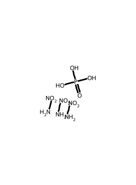 N[N+](=O)[O-].N[N+](=O)[O-].N[N+](=O)[O-].O=P(O)(O)O